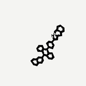 c1ccc2cc(-c3c4ccccc4c(-c4ccc(-c5cc6cc7ccccc7cn6n5)cc4)c4ccccc34)ccc2c1